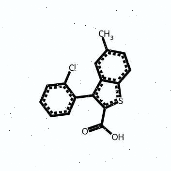 Cc1ccc2sc(C(=O)O)c(-c3ccccc3Cl)c2c1